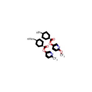 CCCCCC[C@H]1CC[C@H](C(=O)Oc2ccc(C(F)(F)F)nc2)CC1.CCC[C@H]1CC[C@H](C(=O)Oc2ccc(OC(F)(F)F)nc2)CC1